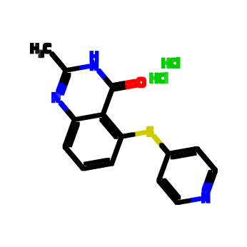 Cc1nc2cccc(Sc3ccncc3)c2c(=O)[nH]1.Cl.Cl